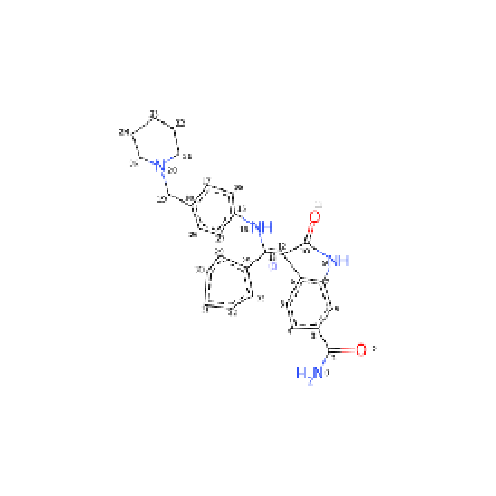 NC(=O)c1ccc2c(c1)NC(=O)/C2=C(\Nc1ccc(CN2CCCCC2)cc1)c1ccccc1